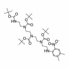 Cc1cc(NCCN(CCN(CCN(CCNC(=O)OC(C)(C)C)C(=O)OC(C)(C)C)C(=O)OC(C)(C)C)C(=O)OC(C)(C)C)c([N+](=O)[O-])cc1C